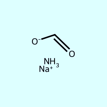 N.O=C[O-].[Na+]